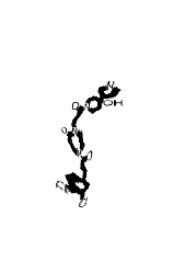 O=C(C=Cc1ccc(Cl)c(Cl)c1)N1CCC(=O)N(CCC(=O)N2CCC(O)(c3ccncc3)CC2)CC1